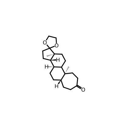 C[C@]12CCC3[C@@H](CC[C@H]4CCC(=O)CC[C@]34C)[C@@H]1CCC21OCCO1